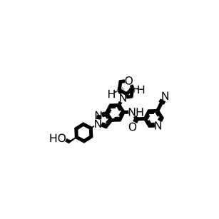 N#Cc1cncc(C(=O)Nc2cc3cn([C@H]4CC[C@H](CO)CC4)nc3cc2N2C[C@H]3C[C@@H]2CO3)c1